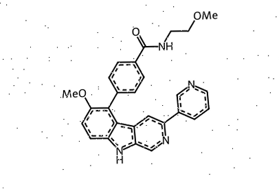 COCCNC(=O)c1ccc(-c2c(OC)ccc3[nH]c4cnc(-c5cccnc5)cc4c23)cc1